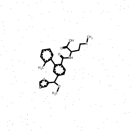 COC(c1ccc(C(=O)NC(CCSC)C(=O)O)c(-c2ccccc2C)c1)c1cncs1